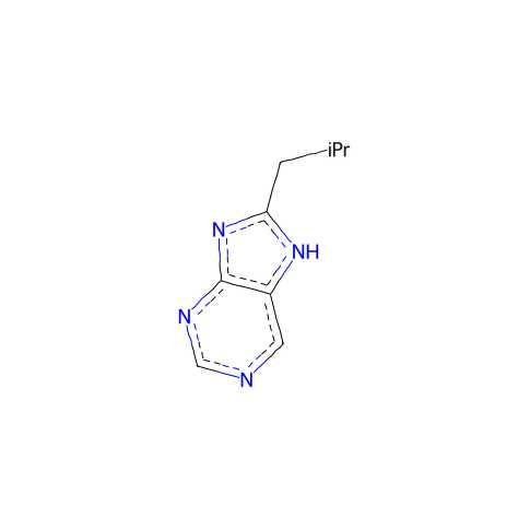 CC(C)Cc1nc2ncncc2[nH]1